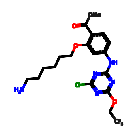 COC(=O)c1ccc(Nc2nc(Cl)nc(OCC(F)(F)F)n2)cc1OCCCCCCN